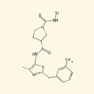 CCNC(=O)N1CCC(C(=O)Nc2sc(Cc3cccc(C(F)(F)F)c3)nc2C)C1